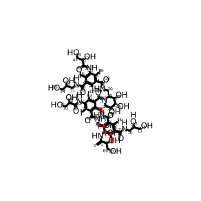 C=C(Nc1c(I)c(C(=O)NCC(O)CO)c(I)c(C(=O)NC[C@H]2[C@H](O)[C@@H](O)[C@H](O)[C@H](CNC(=O)c3c(I)c(NC(=O)C(O)CO)c(I)c(C(=O)NCC(O)CO)c3I)N2C(=O)c2c(I)c(NC(=O)C(O)CO)c(I)c(C(=O)NCC(O)CO)c2I)c1I)C(O)CO